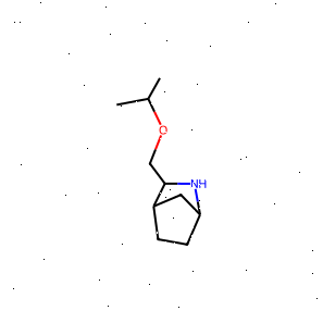 CC(C)OCC1NC2CCC1C2